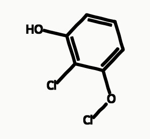 Oc1cccc(OCl)c1Cl